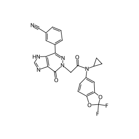 N#Cc1cccc(-c2nn(CC(=O)N(c3ccc4c(c3)OC(F)(F)O4)C3CC3)c(=O)c3nc[nH]c23)c1